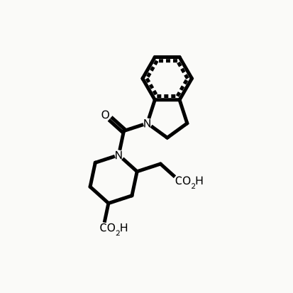 O=C(O)CC1CC(C(=O)O)CCN1C(=O)N1CCc2ccccc21